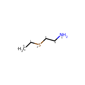 [CH2]CSCCN